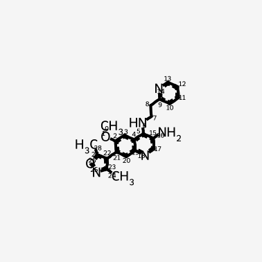 COc1cc2c(NCCc3ccccn3)c(N)cnc2cc1-c1c(C)noc1C